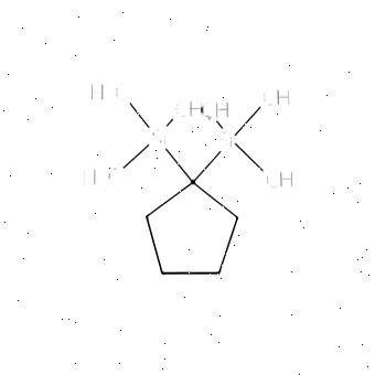 C[Si](C)(C)C1([Si](C)(C)C)CCCC1